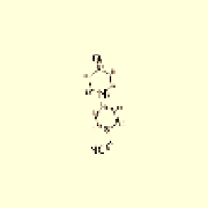 N#CCc1ccc(N2CCC(=O)CC2)cc1